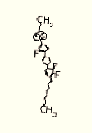 CCCCCCCCCc1ccc(-c2ccc(-c3ccc(C4OCC(CCC)CO4)cc3F)cc2)c(F)c1F